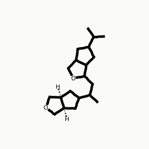 CC(C)C1CC2COC(CC(C)C3C[C@H]4COC[C@H]4C3)C2C1